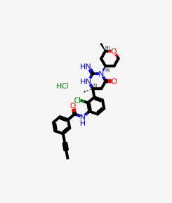 CC#Cc1cccc(C(=O)Nc2cccc([C@]3(C)CC(=O)N([C@@H]4CCO[C@H](C)C4)C(=N)N3)c2Cl)c1.Cl